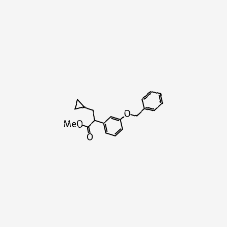 COC(=O)C(CC1CC1)c1cccc(OCc2ccccc2)c1